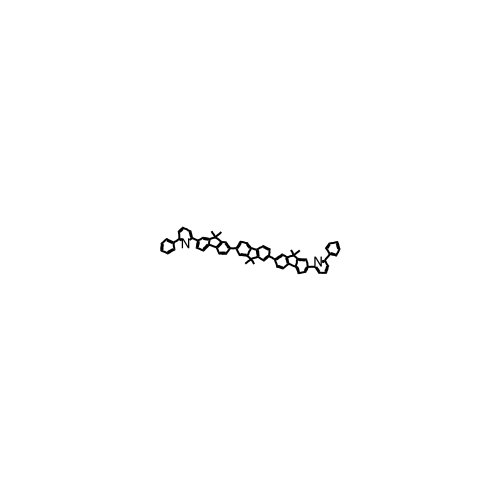 CC1(C)c2cc(-c3ccc4c(c3)C(C)(C)c3cc(-c5cccc(-c6ccccc6)n5)ccc3-4)ccc2-c2ccc(-c3ccc4c(c3)C(C)(C)c3cc(-c5cccc(-c6ccccc6)n5)ccc3-4)cc21